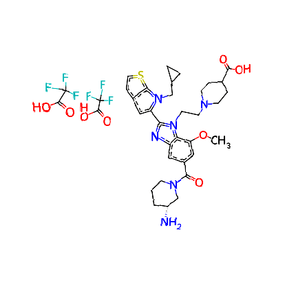 COc1cc(C(=O)N2CCC[C@@H](N)C2)cc2nc(-c3cc4ccsc4n3CC3CC3)n(CCN3CCC(C(=O)O)CC3)c12.O=C(O)C(F)(F)F.O=C(O)C(F)(F)F